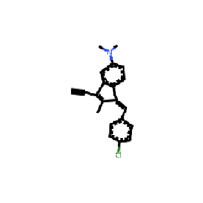 C#CC1=C(C)C(=Cc2ccc(Cl)cc2)c2ccc(N(C)C)cc21